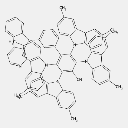 Cc1ccc2c(c1)c1cc(C)ccc1n2-c1c(C#N)c(-n2c3ccc(C)cc3c3cc(C)ccc32)c(-n2c3ccc(C)cc3c3cc(C)ccc32)c(-c2cccc(-n3c4ccccc4c4ccncc43)c2)c1-n1c2ccc(C)cc2c2cc(C)ccc21